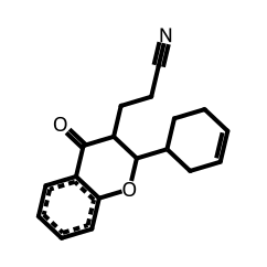 N#CCCC1C(=O)c2ccccc2OC1C1CC=CCC1